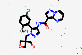 COc1ccc(Cl)cc1-c1c(NC(=O)c2cnn3cccnc23)cnn1CC1(CO)COC1